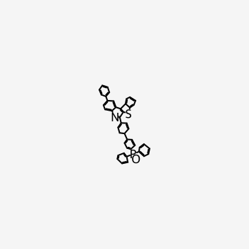 O=P(c1ccccc1)(c1ccccc1)c1ccc(C2C=CC(c3nc4ccc(-c5ccccc5)cc4c4c3sc3ccccc34)=CC2)cc1